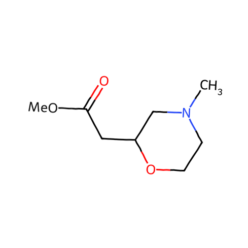 COC(=O)CC1CN(C)CCO1